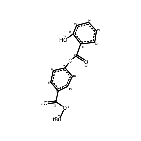 CC(C)(C)OC(=O)c1ccc(OC(=O)c2ccccc2O)cc1